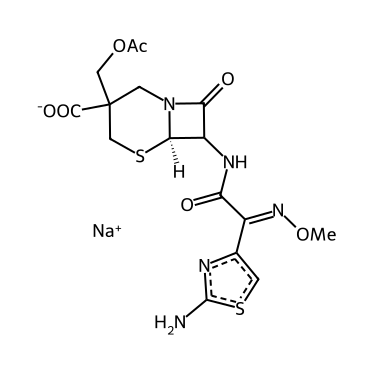 CON=C(C(=O)NC1C(=O)N2CC(COC(C)=O)(C(=O)[O-])CS[C@H]12)c1csc(N)n1.[Na+]